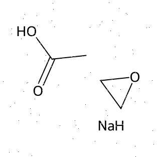 C1CO1.CC(=O)O.[NaH]